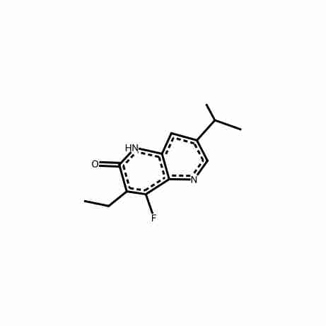 CCc1c(F)c2ncc(C(C)C)cc2[nH]c1=O